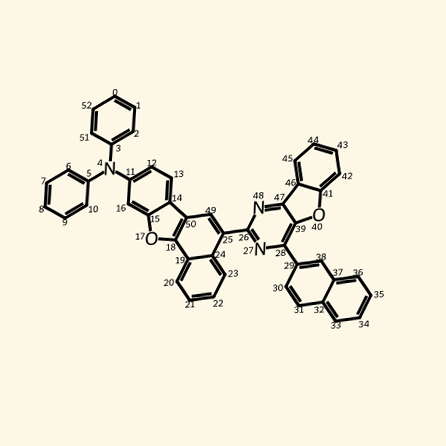 c1ccc(N(c2ccccc2)c2ccc3c(c2)oc2c4ccccc4c(-c4nc(-c5ccc6ccccc6c5)c5oc6ccccc6c5n4)cc32)cc1